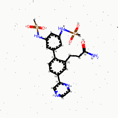 CS(=O)(=O)Nc1cc(NS(C)(=O)=O)cc(-c2ccc(-c3cnccn3)cc2CCC(N)=O)c1